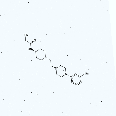 CC(C)(C)c1cccc(N2CCN(CC[C@H]3CC[C@H](NC(=O)CC#N)CC3)CC2)c1